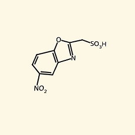 O=[N+]([O-])c1ccc2oc(CS(=O)(=O)O)nc2c1